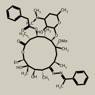 CC[C@H]1OC(=O)[C@H](C)[C@@H](OC(=O)Cc2ccccc2)[C@H](C)[C@@H](OC2OC(C)CC(N(C)C)C2O)[C@](C)(OC)C[C@@H](C)/C(=N\N=C(/C)c2ccccc2)[C@H](C)[C@@H](O)[C@]1(C)O